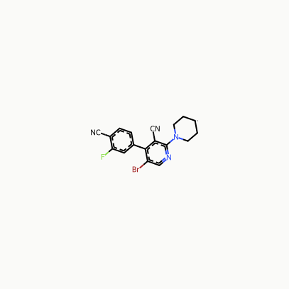 N#Cc1ccc(-c2c(Br)cnc(N3CC[CH]CC3)c2C#N)cc1F